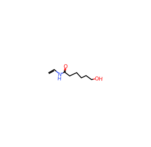 C=CNC(=O)CCCCCO